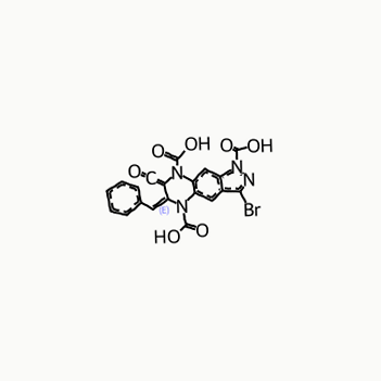 O=C=C1/C(=C\c2ccccc2)N(C(=O)O)c2cc3c(Br)nn(C(=O)O)c3cc2N1C(=O)O